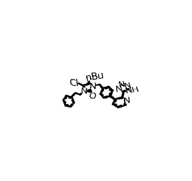 CCCCc1c(Cl)n(CCc2ccccc2)c(=O)n1Cc1ccc(-c2cccnc2-c2nnn[nH]2)cc1